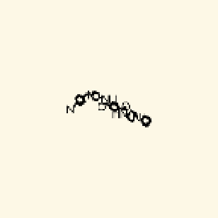 N#Cc1ccc(CN2CCC(NC(=O)c3ccc(C(=O)NC4CCN(c5ccccc5)CC4)cc3)CC2)cc1